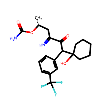 C[C@H](CC(=N)C(=O)C(c1cccc(C(F)(F)F)c1)C1(O)CCCCC1)OC(N)=O